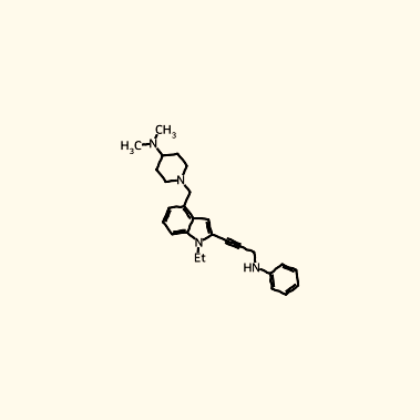 CCn1c(C#CCNc2ccccc2)cc2c(CN3CCC(N(C)C)CC3)cccc21